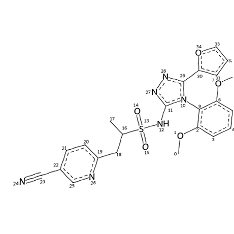 COc1cccc(OC)c1-n1c(NS(=O)(=O)C(C)Cc2ccc(C#N)cn2)nnc1-c1ccco1